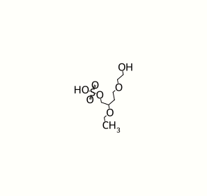 CCOC(CCOCCO)COS(=O)(=O)O